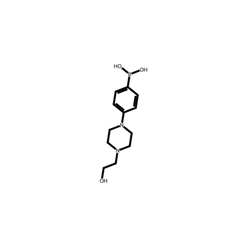 OCCN1CCN(c2ccc(B(O)O)cc2)CC1